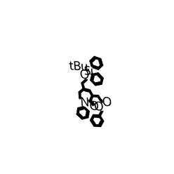 CC(C)(C)[Si](OCCC1=CC(CC(=O)OCc2ccccc2)C(=O)N(c2ccccc2)CC1)(c1ccccc1)c1ccccc1